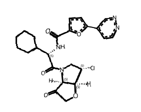 O=C(N[C@H](C(=O)N1C[C@H](Cl)[C@H]2OCC(=O)[C@H]21)C1CCCCC1)c1ccc(-c2ccnnc2)o1